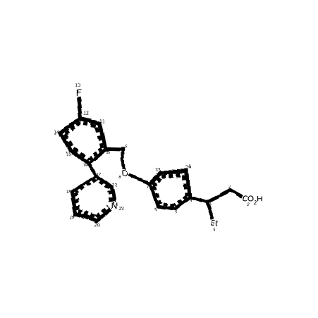 CCC(CC(=O)O)c1ccc(OCc2cc(F)ccc2-c2cccnc2)cc1